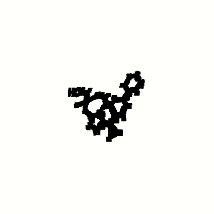 CC1(CO)Cc2nnc(C3(c4ccc(-c5cncnc5)cc4)CC3)n2CCS1